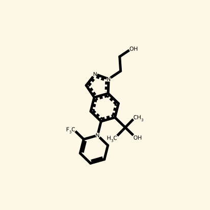 CC(C)(O)c1cc2c(cnn2CCO)cc1N1CC=CC=C1C(F)(F)F